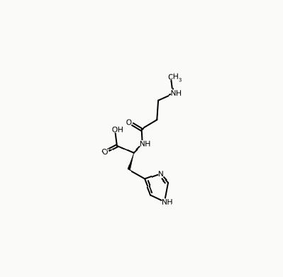 CNCCC(=O)N[C@@H](Cc1c[nH]cn1)C(=O)O